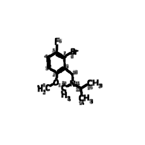 COc1ccc(F)c(Br)c1CN(C)C(C)C